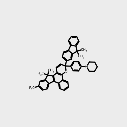 CC1(C)c2ccccc2-c2ccc(C3(c4ccc(N5CCCCC5)cc4)C=Cc4c5c(c6ccccc6c4O3)-c3ccc(C(F)(F)F)cc3C5(C)C)cc21